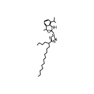 CCCCCCCCCCCCC(CCCC)c1nnn(CC(=O)Nc2c(C(C)C)cccc2C(C)C)n1